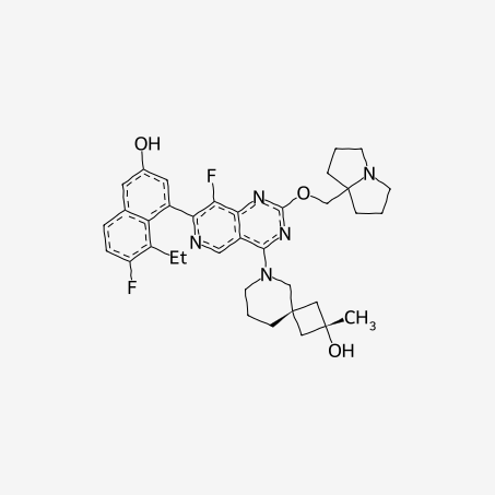 CCc1c(F)ccc2cc(O)cc(-c3ncc4c(N5CCC[C@]6(C5)C[C@@](C)(O)C6)nc(OCC56CCCN5CCC6)nc4c3F)c12